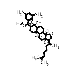 CC(C)=CCCCC(C)C1CCC2(C)C3CCC4C(C)(C)C(C(OO)c5cc(N)cc(N)c5)CCC4(C)C3CCC12C